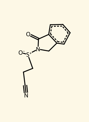 N#CCC[S+]([O-])N1Cc2ccccc2C1=O